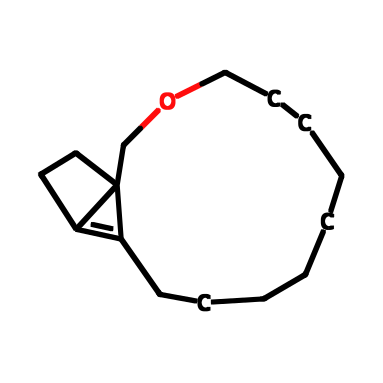 C1CCCCOCC23CCC2=C3CCCC1